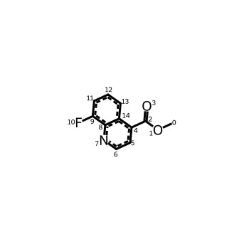 COC(=O)c1ccnc2c(F)cccc12